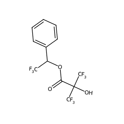 O=C(OC(c1ccccc1)C(F)(F)F)C(O)(C(F)(F)F)C(F)(F)F